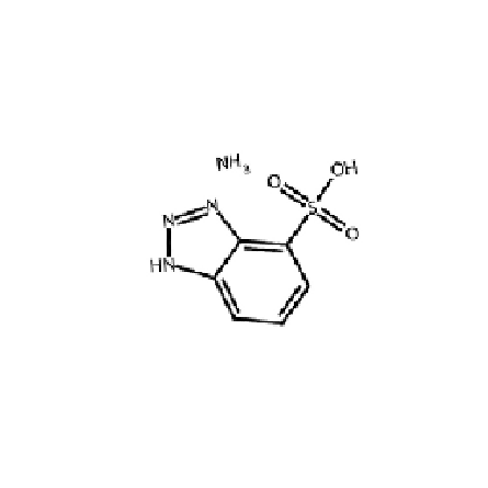 N.O=S(=O)(O)c1cccc2[nH]nnc12